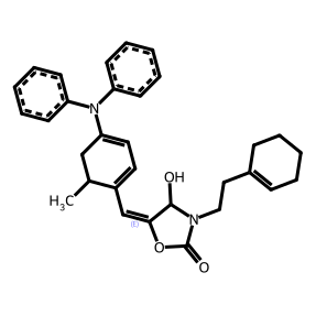 CC1CC(N(c2ccccc2)c2ccccc2)=CC=C1/C=C1/OC(=O)N(CCC2=CCCCC2)C1O